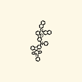 c1ccc(N(c2ccc3c(c2)-c2ccccc2C32c3ccccc3N(c3ccccc3)c3ccccc32)c2ccc3c(c2)oc2c(N(c4ccc5ccccc5c4)c4ccc5ccccc5c4)cccc23)cc1